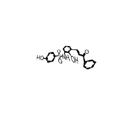 O=C(C=Cc1cccc(NS(=O)(=O)c2ccc(O)cc2)c1O)c1ccccc1